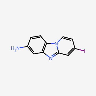 Nc1ccc2c(c1)nc1cc(I)ccn12